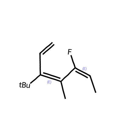 C=C/C(=C(C)\C(F)=C/C)C(C)(C)C